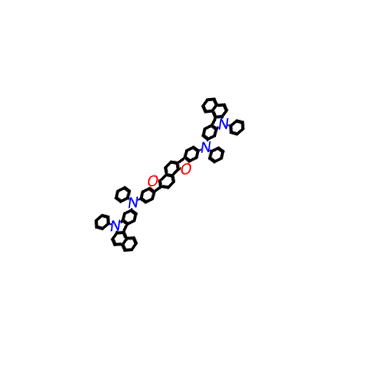 c1ccc(N(c2ccc3c(c2)oc2c3ccc3c2ccc2c4ccc(N(c5ccccc5)c5ccc6c7c8ccccc8ccc7n(-c7ccccc7)c6c5)cc4oc23)c2ccc3c4c5ccccc5ccc4n(-c4ccccc4)c3c2)cc1